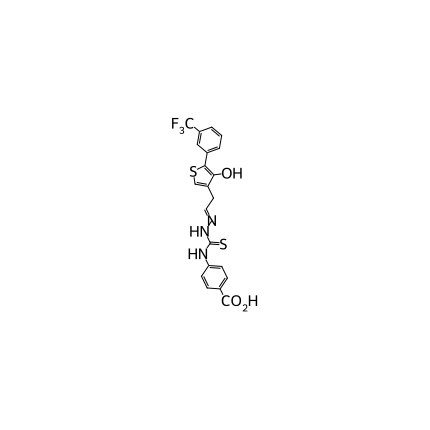 O=C(O)c1ccc(NC(=S)NN=CCc2csc(-c3cccc(C(F)(F)F)c3)c2O)cc1